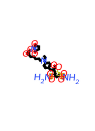 CCN(CCCCCC1OC1ON1C(=O)CCC1=O)c1ccc2cc(-c3sc(S(N)(=O)=O)cc3S(N)(=O)=O)c(=O)oc2c1